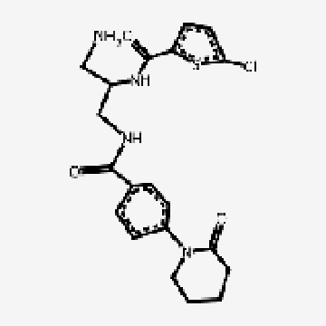 NCC(CNC(=O)c1ccc(N2CCCCC2=O)cc1)NC(=O)c1ccc(Cl)s1